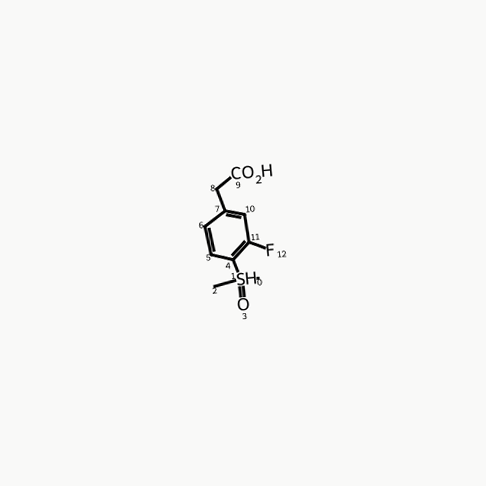 C[SH](C)(=O)c1ccc(CC(=O)O)cc1F